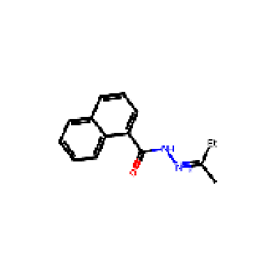 CC/C(C)=N\NC(=O)c1cccc2ccccc12